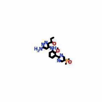 CCC(=O)c1nnc(N)cc1Nc1cccc(-c2ncc(P(C)(C)=O)cn2)c1OC